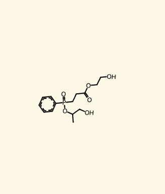 CC(CO)OP(=O)(CCC(=O)OCCO)c1ccccc1